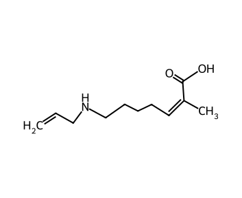 C=CCNCCCCC=C(C)C(=O)O